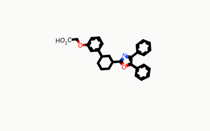 O=C(O)COc1cccc(C2CCCC(c3nc(-c4ccccc4)c(-c4ccccc4)o3)C2)c1